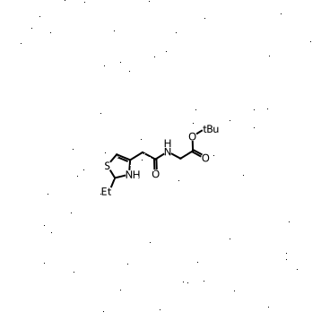 CCC1NC(CC(=O)NCC(=O)OC(C)(C)C)=CS1